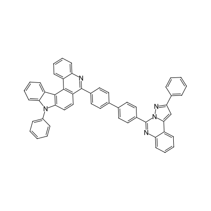 c1ccc(-c2cc3c4ccccc4nc(-c4ccc(-c5ccc(-c6nc7ccccc7c7c6ccc6c7c7ccccc7n6-c6ccccc6)cc5)cc4)n3n2)cc1